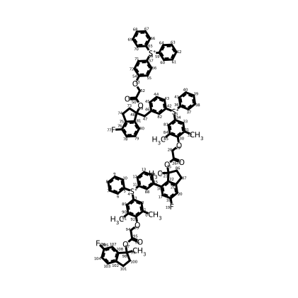 Cc1cc([S+](c2ccccc2)c2cccc(-c3cc(F)cc4c3C(C)(OC(=O)COc3c(C)cc([S+](c5ccccc5)c5cccc(CC6(OC(=O)COc7ccc([S+](c8ccccc8)c8ccccc8)cc7)CCc7c(F)cccc76)c5)cc3C)CC4)c2)cc(C)c1OCC(=O)OC1(C)CCc2ccc(F)cc21